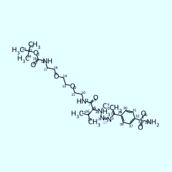 C=C(/N=N\N(C)[C@H](C(=O)NCCOCCOCCNC(=O)OC(C)(C)C)C(C)C)c1ccc(S(N)(=O)=O)cc1